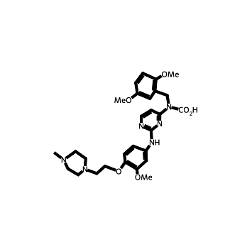 COc1ccc(OC)c(CN(C(=O)O)c2ccnc(Nc3ccc(OCCN4CCN(C)CC4)c(OC)c3)n2)c1